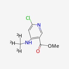 [2H]C([2H])([2H])Nc1cc(Cl)ncc1C(=O)OC